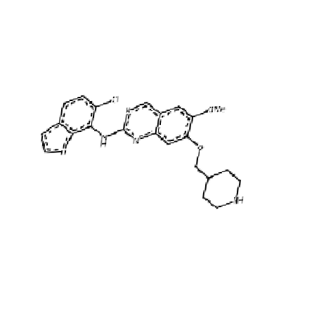 COc1cc2cnc(Nc3c(Cl)ccc4ccoc34)nc2cc1OCC1CCNCC1